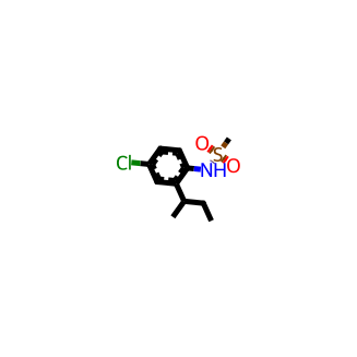 CCC(C)c1cc(Cl)ccc1NS(C)(=O)=O